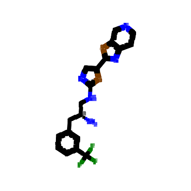 N[C@@H](CNc1ncc(-c2nc3ccncc3s2)s1)Cc1cccc(C(F)(F)F)c1